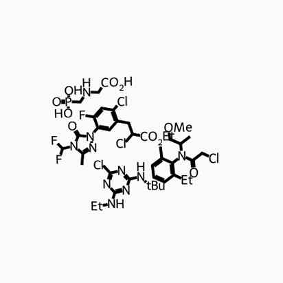 CCNc1nc(Cl)nc(NC(C)(C)C)n1.CCOC(=O)C(Cl)Cc1cc(-n2nc(C)n(C(F)F)c2=O)c(F)cc1Cl.CCc1cccc(C)c1N(C(=O)CCl)C(C)COC.O=C(O)CNCP(=O)(O)O